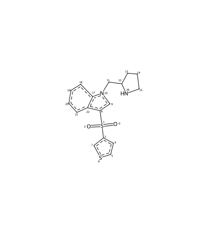 O=S(=O)(c1ccsc1)c1cn(CC2CCCN2)c2ccccc12